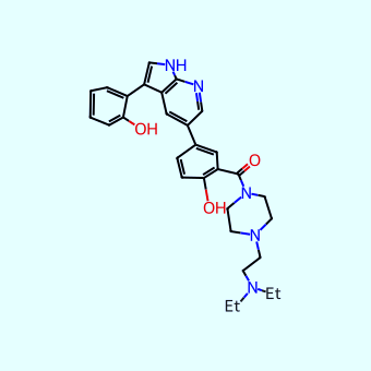 CCN(CC)CCN1CCN(C(=O)c2cc(-c3cnc4[nH]cc(-c5ccccc5O)c4c3)ccc2O)CC1